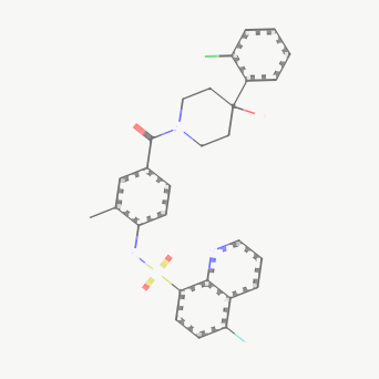 Cc1cc(C(=O)N2CCC(O)(c3ccccc3Cl)CC2)ccc1NS(=O)(=O)c1ccc(F)c2cccnc12